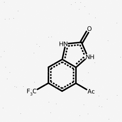 CC(=O)c1cc(C(F)(F)F)cc2[nH]c(=O)[nH]c12